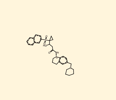 O=C(CC(O)C1(S(=O)(=O)c2ccc3ccccc3c2)CC1)N[C@@H]1CCCc2cc(CN3CCCCC3)ccc21